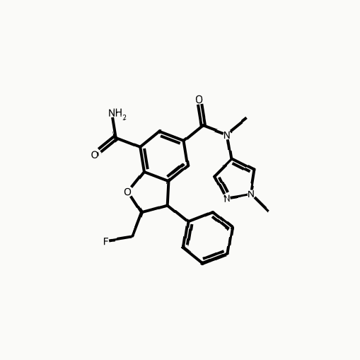 CN(C(=O)c1cc(C(N)=O)c2c(c1)C(c1ccccc1)C(CF)O2)c1cnn(C)c1